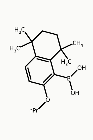 CCCOc1ccc2c(c1B(O)O)C(C)(C)CCC2(C)C